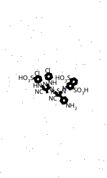 Cc1c(C#N)c(Nc2ccc(Cl)c(S(=O)(=O)O)c2)nc(Nc2ccc(Cl)cc2)c1N=Nc1sc(/N=N/c2cc(S(=O)(=O)O)c3cccc(S(=O)(=O)O)c3c2)c(-c2ccc(N)cc2)c1C#N